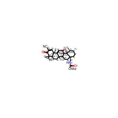 COC(=O)NC[C@]12CC[C@@H](C)[C@H](C)[C@H]1[C@H]1C(=O)C=C3[C@@]4(C)C=C(C#N)C(=O)C(C)(C)[C@@H]4CC[C@@]3(C)[C@]1(C)CC2